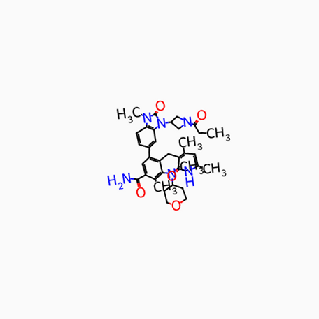 CCC(=O)N1CC(n2c(=O)n(C)c3ccc(-c4cc(C(N)=O)c(C)c(N(CC)C5CCOCC5)c4Cc4c(C)cc(C)[nH]c4=O)cc32)C1